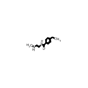 CCc1ccc(C(=O)NCCNC)cc1